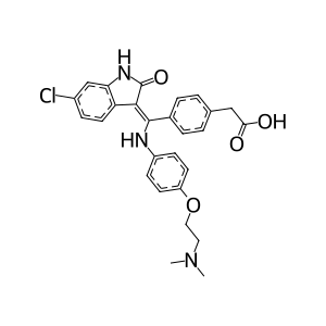 CN(C)CCOc1ccc(NC(=C2C(=O)Nc3cc(Cl)ccc32)c2ccc(CC(=O)O)cc2)cc1